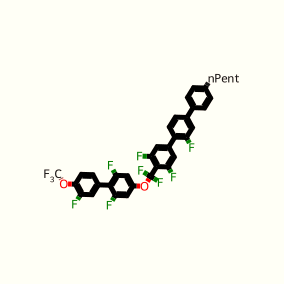 CCCCCc1ccc(-c2ccc(-c3cc(F)c(C(F)(F)Oc4cc(F)c(-c5ccc(OC(F)(F)F)c(F)c5)c(F)c4)c(F)c3)c(F)c2)cc1